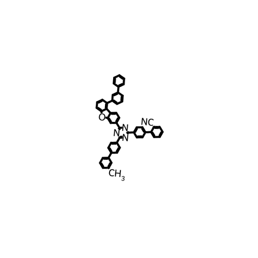 Cc1cccc(-c2ccc(-c3nc(-c4ccc(-c5ccccc5C#N)cc4)nc(-c4ccc5c(c4)oc4cccc(-c6cccc(-c7ccccc7)c6)c45)n3)cc2)c1